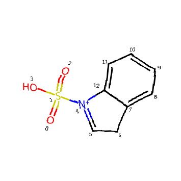 O=S(=O)(O)[N+]1=CCc2ccccc21